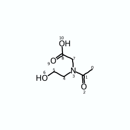 CC(=O)N(CCO)CC(=O)O